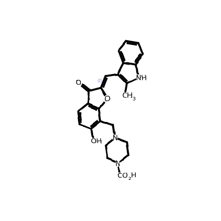 Cc1[nH]c2ccccc2c1/C=C1\Oc2c(ccc(O)c2CN2CCN(C(=O)O)CC2)C1=O